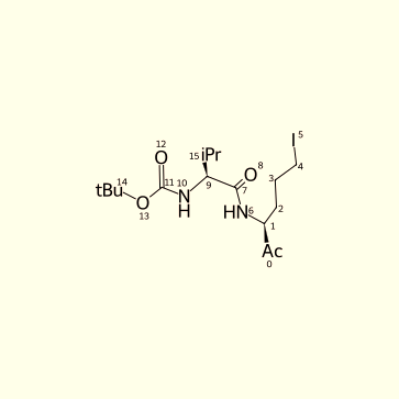 CC(=O)[C@H](CCCI)NC(=O)[C@@H](NC(=O)OC(C)(C)C)C(C)C